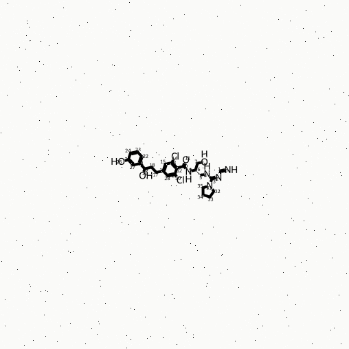 N=C/N=C(\NC[C@@H](CO)NC(=O)c1c(Cl)cc(CCC(O)c2cccc(O)c2)cc1Cl)N1CCCC1